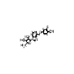 C[C@H]1O[C@@H](n2cnc3c(COc4ccc(C#N)c(F)c4)ncnc32)[C@H](O)[C@@H]1O